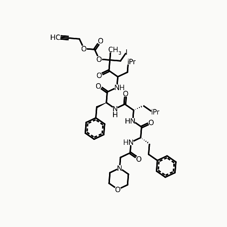 C#CCOC(=O)OC(C)(CI)C(=O)C(CC(C)C)NC(=O)[C@H](Cc1ccccc1)NC(=O)[C@H](CC(C)C)NC(=O)[C@H](CCc1ccccc1)NC(=O)CN1CCOCC1